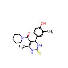 CC1=C(C(=O)N2CCCCC2)C(c2ccc(O)c(C)c2)NC(=S)N1